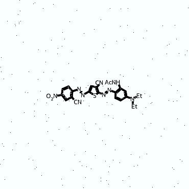 CCN(CC)c1ccc(/N=N/c2sc(/N=N/c3ccc([N+](=O)[O-])cc3C#N)cc2C#N)c(NC(C)=O)c1